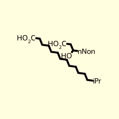 CC(C)CCCCCCCCCCCCC(=O)O.CCCCCCCCCC(O)CC(=O)O